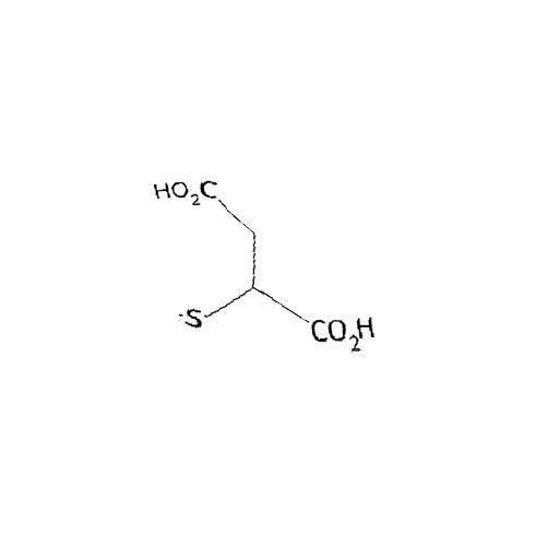 O=C(O)CC([S])C(=O)O